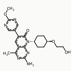 COc1ncc(-c2cc3c(C)nc(N)nc3n([C@H]3CC[C@H](OCCO)CC3)c2=O)cn1